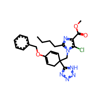 CCCCc1nc(C(=O)OC)c(Cl)n1CC1(c2nnn[nH]2)C=CC(OCc2ccccc2)=CC1